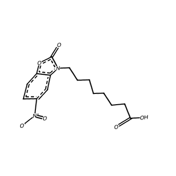 O=C(O)CCCCCCCn1c(=O)oc2ccc([N+](=O)[O-])cc21